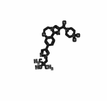 CC(C)(O)Cn1cc(-c2ccc3c(c2)OCCn2cc(C(=O)N4CCS(=O)(=O)CC4)nc2-3)cn1